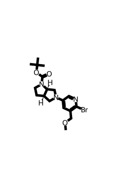 COCc1cc(N2C[C@H]3CCN(C(=O)OC(C)(C)C)[C@H]3C2)cnc1Br